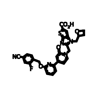 N#Cc1ccc(COc2cccc(-c3ccn(Cc4nc5sc(C(=O)O)cc5n4CC4CCO4)c(=O)c3)n2)c(F)c1